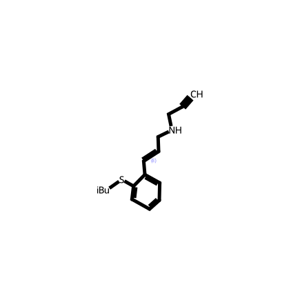 C#CCNC/C=C/c1ccccc1SC(C)CC